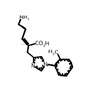 Cc1ccccc1-n1cnc(C/C(=C/CCN)C(=O)O)c1